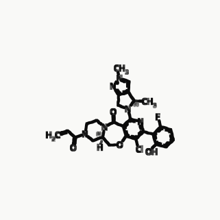 C=CC(=O)N1CCN2C(=O)c3c(N4Cc5nn(C)cc5[C@H]4C)nc(-c4c(O)cccc4F)c(Cl)c3OC[C@H]2C1